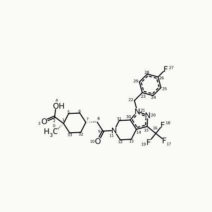 C[C@]1(C(=O)O)CC[C@H](CC(=O)N2CCc3c(C(F)(F)F)nn(Cc4ccc(F)cc4)c3C2)CC1